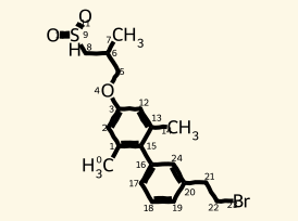 Cc1cc(OCC(C)C[SH](=O)=O)cc(C)c1-c1cccc(CCBr)c1